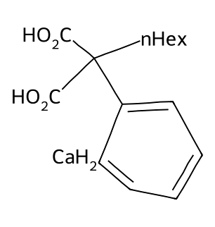 CCCCCCC(C(=O)O)(C(=O)O)c1ccccc1.[CaH2]